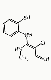 CN/C(Nc1ccccc1S)=C(/Cl)C=N